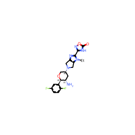 CCn1c(-c2noc(=O)[nH]2)nc2c1CN([C@H]1CO[C@H](c3cc(F)ccc3F)[C@@H](N)C1)C2